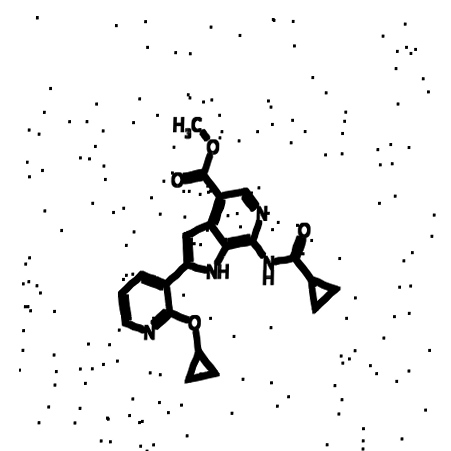 COC(=O)c1cnc(NC(=O)C2CC2)c2[nH]c(-c3cccnc3OC3CC3)cc12